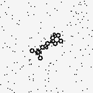 c1ccc(-c2nc(-c3ccccc3)nc(-c3ccc4c(c3)oc3cc(-n5c6cccc7c8ccccc8c8cccc9oc%10ccc5c(c%10c98)c76)ccc34)n2)cc1